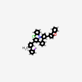 Cc1ccc(-c2ccc3c(c2)-c2ccccc2-c2cc(-c4ccc5oc6ccccc6c5c4)ccc2N3c2ccccc2Cl)cc1-c1ccccc1I